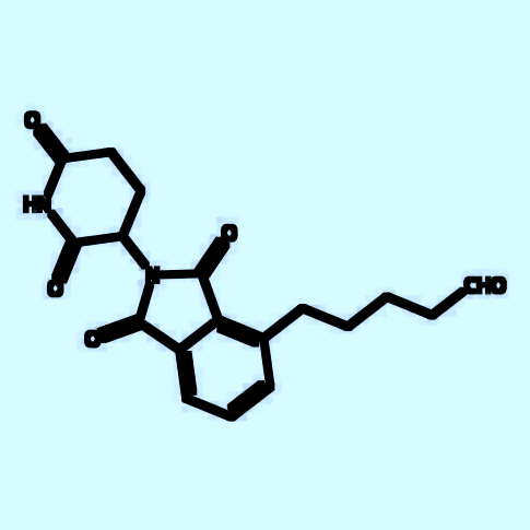 O=CCCCCc1cccc2c1C(=O)N(C1CCC(=O)NC1=O)C2=O